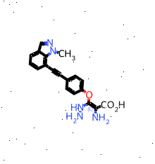 Cn1ncc2cccc(C#Cc3ccc(O/C(NN)=C(/N)C(=O)O)cc3)c21